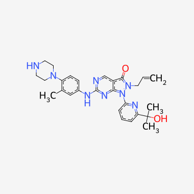 C=CCn1c(=O)c2cnc(Nc3ccc(N4CCNCC4)c(C)c3)nc2n1-c1cccc(C(C)(C)O)n1